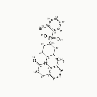 Cc1cccc2c1N(C1CCN(S(=O)(=O)c3ccccc3Br)CC1)C(=O)OC2